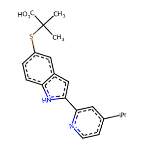 CC(C)c1ccnc(-c2cc3cc(SC(C)(C)C(=O)O)ccc3[nH]2)c1